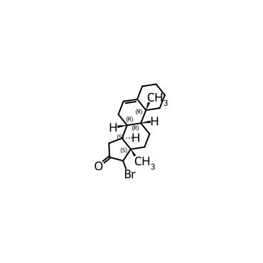 C[C@]12CCCCC1=CC[C@@H]1[C@H]2CC[C@]2(C)C(Br)C(=O)C[C@@H]12